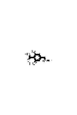 O=C(O)c1c(O)cc(CNI)cc1O